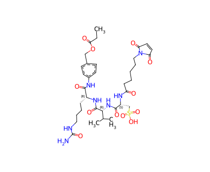 CCC(=O)OCc1ccc(NC(=O)[C@@H](CCCCNC(N)=O)NC(=O)[C@H](NC(=O)[C@@H](CS(=O)(=O)O)NC(=O)CCCCCN2C(=O)C=CC2=O)C(C)C)cc1